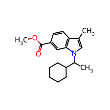 COC(=O)c1ccc2c(C)cn(C(C)C3CCCCC3)c2c1